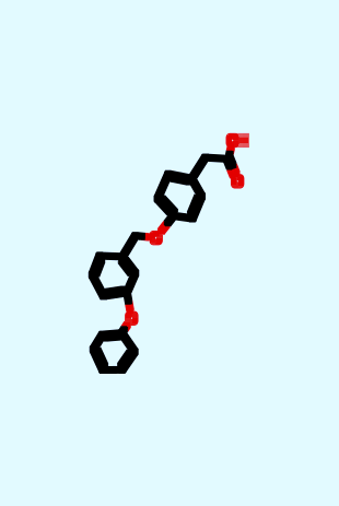 O=C(O)Cc1ccc(OCc2cccc(Oc3ccccc3)c2)cc1